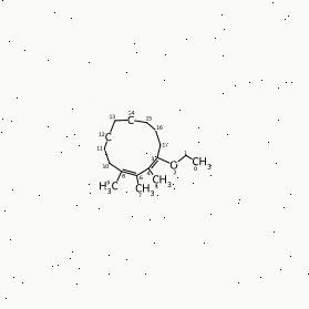 CCO/C1=C(C)/C(C)=C(/C)CCCCCCCC1